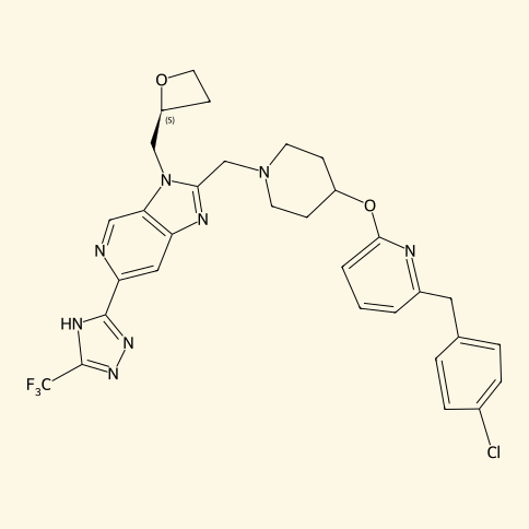 FC(F)(F)c1nnc(-c2cc3nc(CN4CCC(Oc5cccc(Cc6ccc(Cl)cc6)n5)CC4)n(C[C@@H]4CCO4)c3cn2)[nH]1